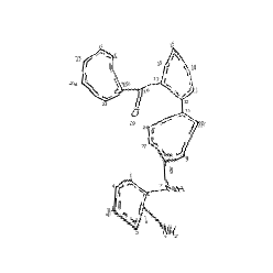 Nc1ccccc1Nc1ccc(-c2ccccc2C(=O)c2ccccc2)cc1